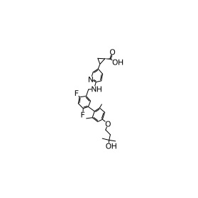 Cc1cc(OCCC(C)(C)O)cc(C)c1-c1cc(CNc2ccc(C3C[C@H]3C(=O)O)cn2)c(F)cc1F